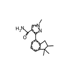 CC1Cc2c(-c3nn(C)cc3C(N)=O)cccc2C1(C)C